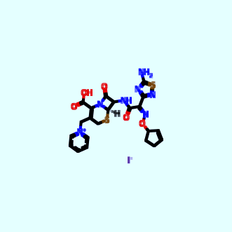 Nc1nc(/C(=N/OC2C=CCC2)C(=O)NC2C(=O)N3C(C(=O)O)=C(C[n+]4ccccc4)CS[C@H]23)ns1.[I-]